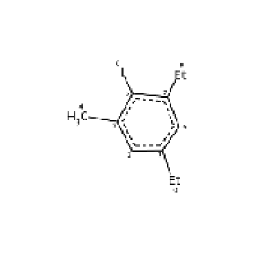 CCc1cc(C)c(I)c(CC)c1